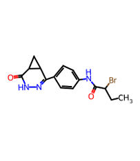 CCC(Br)C(=O)Nc1ccc(C2=NNC(=O)C3CC23)cc1